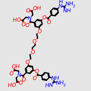 N=C(N)Nc1ccc(C(=O)Oc2cc(OCCOCCOCCOc3cc(OC(=O)c4ccc(NC(=N)N)cc4)cc(C(=O)N(CC(=O)O)CC(=O)O)c3)cc(C(=O)N(CC(=O)O)CC(=O)O)c2)cc1